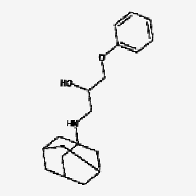 OC(CNC12CC3CC(CC(C3)C1)C2)COc1ccccc1